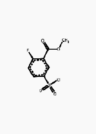 COC(=O)c1cc(S(=O)(=O)Cl)ccc1F